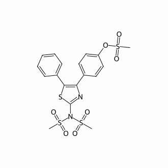 CS(=O)(=O)Oc1ccc(-c2nc(N(S(C)(=O)=O)S(C)(=O)=O)sc2-c2ccccc2)cc1